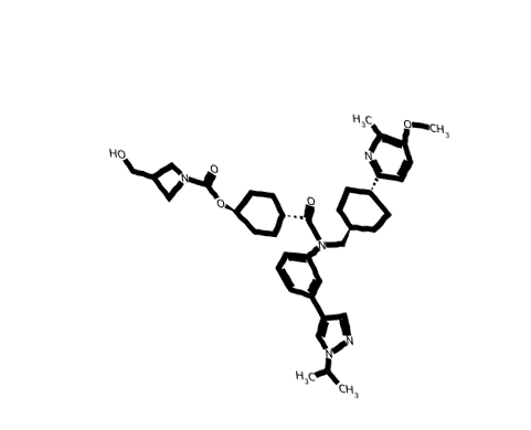 COc1ccc([C@H]2CC[C@H](CN(c3cccc(-c4cnn(C(C)C)c4)c3)C(=O)[C@H]3CC[C@H](OC(=O)N4CC(CO)C4)CC3)CC2)nc1C